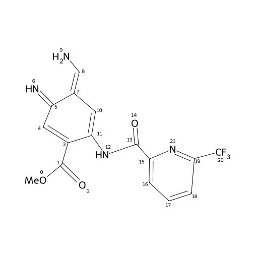 COC(=O)C1=CC(=N)/C(=C\N)C=C1NC(=O)c1cccc(C(F)(F)F)n1